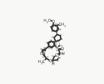 COc1ccc([C@H]2CC[C@H](CN3c4cccc(c4)-c4coc(n4)C(C)O[C@H]4CC[C@@H](CC4)C3=O)CC2)cc1C